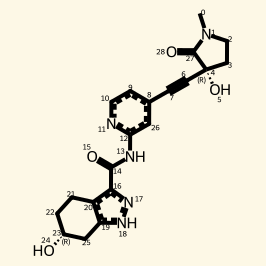 CN1CC[C@@](O)(C#Cc2ccnc(NC(=O)c3n[nH]c4c3CC[C@@H](O)C4)c2)C1=O